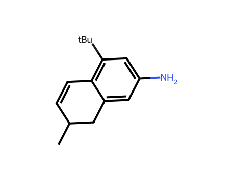 CC1C=Cc2c(cc(N)cc2C(C)(C)C)C1